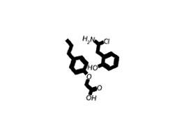 CCCc1ccc(OCC(=O)O)cc1.NC(Cl)Cc1ccccc1O